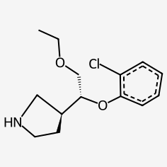 CCOC[C@H](Oc1ccccc1Cl)[C@H]1CCNC1